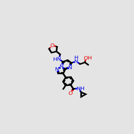 Cc1cc(-c2cnn3c(NCC4CCOC4)cc(NCC(C)O)nc23)ccc1C(=O)NC1CC1